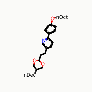 CCCCCCCCCCC1COC(CCc2ccc(-c3ccc(OCCCCCCCC)cc3)nc2)OC1